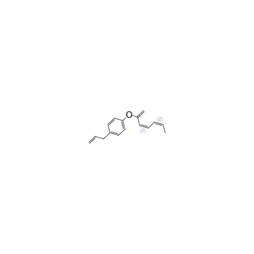 C=CCc1ccc(OC(=C)/C=C\C=C/C)cc1